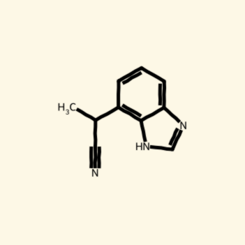 CC(C#N)c1cccc2nc[nH]c12